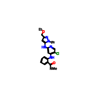 CCOCc1cc(Nc2cc(Nc3ccccc3C(=O)NC)c(Cl)cn2)n(C(C)C)n1